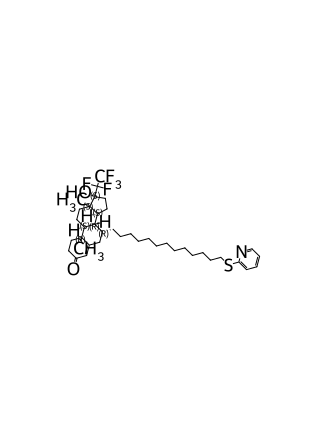 C[C@]12CCC(=O)C=C1C[C@@H](CCCCCCCCCCCCCSc1ccccn1)[C@@H]1[C@@H]2CC[C@@]2(C)[C@H]1CC[C@@]2(O)C(F)(F)C(F)(F)F